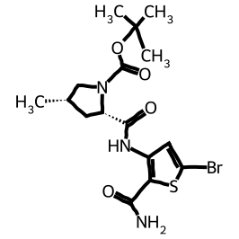 C[C@H]1C[C@@H](C(=O)Nc2cc(Br)sc2C(N)=O)N(C(=O)OC(C)(C)C)C1